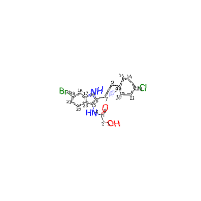 O=C(CO)Nc1c(/C=C/c2ccc(Cl)cc2)[nH]c2cc(Br)ccc12